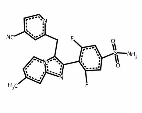 Cc1ccn2c(Cc3cc(C#N)ccn3)c(-c3c(F)cc(S(N)(=O)=O)cc3F)nc2c1